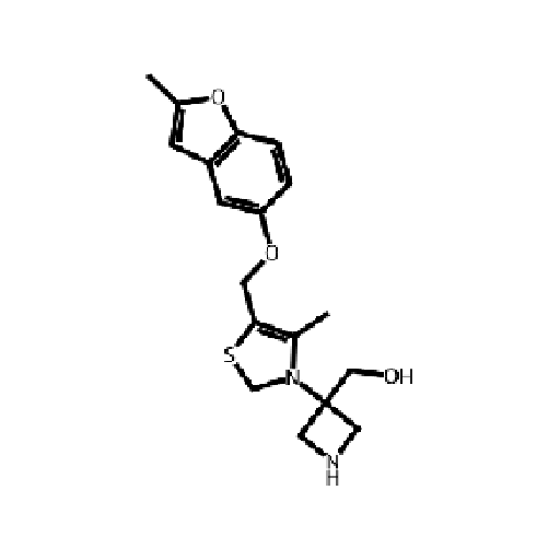 CC1=C(COc2ccc3oc(C)cc3c2)SCN1C1(CO)CNC1